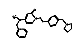 CN(Cc1ccccc1)c1ccn(CCc2ccc(CN3CCCC3)cc2)c(=O)c1